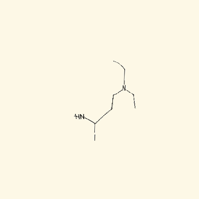 CCN(CC)CCC(C)[NH]